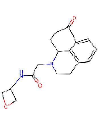 O=C(CN1CCc2cccc3c2C1CCC3=O)NC1COC1